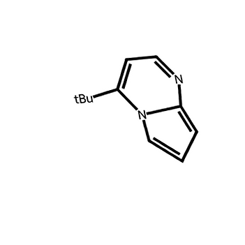 CC(C)(C)c1ccnc2cccn12